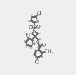 Cc1cc(Cl)ccc1C(=O)NCC1(c2ncccc2F)CN(S(=O)(=O)c2ccc(Cl)s2)C1